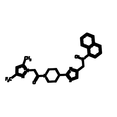 Cc1cc(C(F)(F)F)nn1CC(=O)N1CCC(c2nc(C[S+]([O-])c3cccc4ccccc34)cs2)CC1